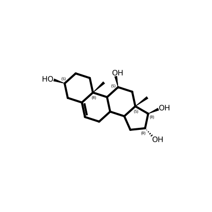 C[C@]12CC[C@H](O)CC1=CCC1C2[C@@H](O)C[C@@]2(C)C1C[C@@H](O)[C@@H]2O